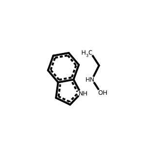 CCNO.c1ccc2[nH]ccc2c1